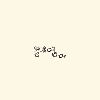 CN(Cc1ccccn1)C1CCN(S(=O)(=O)c2ccc(Nc3nccc(-c4ccc(F)cc4)n3)cc2)CC1